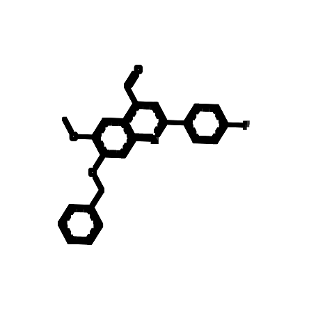 COc1cc2c(C=O)cc(-c3ccc(F)cc3)nc2cc1OCc1ccccc1